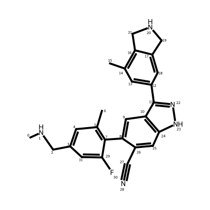 CNCc1cc(C)c(-c2cc3c(-c4cc(C)c5c(c4)CNC5)n[nH]c3cc2C#N)c(F)c1